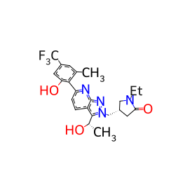 CCN1C[C@@H](Cn2nc3nc(-c4c(C)cc(C(F)(F)F)cc4O)ccc3c2[C@H](C)O)CC1=O